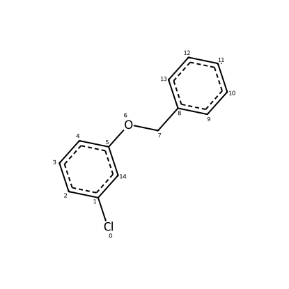 Clc1cccc(OCc2cc[c]cc2)c1